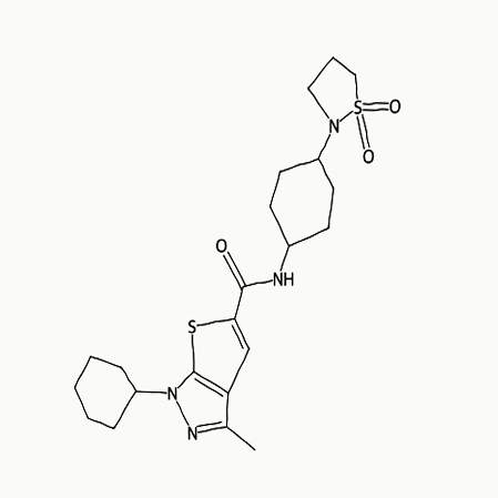 Cc1nn(C2CCCCC2)c2sc(C(=O)NC3CCC(N4CCCS4(=O)=O)CC3)cc12